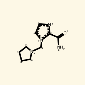 NC(=O)c1nccn1CN1CCCC1